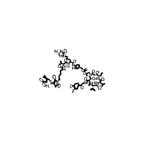 CC[C@H](C)[C@@H]([C@@H](CC(=O)N1C[C@@H](OC(=O)OCc2ccc(NC(=O)C(CCCNC(N)=O)NC(=O)[C@@H](NC(=O)CCCCCN3C(=O)CC(SCC4(CC(=O)O)CC4)C3=O)C(C)C)cc2)C[C@H]1[C@H](OC)[C@@H](C)C(=O)NCC(=O)c1ccc(OC)c(F)c1)OC)N(C)C(=O)[C@@H](NC(=O)[C@H](C(C)C)N(C)C)C(C)C